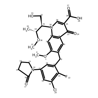 COc1cc2c(cc1Cc1cc(N3CCCC3=O)cc(Cl)c1F)c(=O)c(C(=O)O)cn2[C@H](CO)[C@@H](C)OC